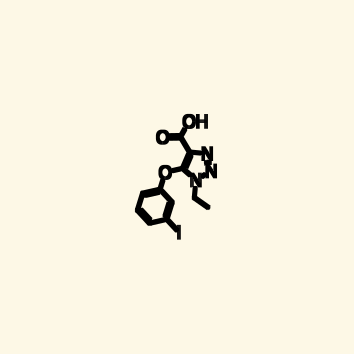 CCn1nnc(C(=O)O)c1Oc1cccc(I)c1